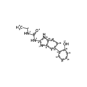 CCNC(=O)Nc1nc2cc(-c3ccccc3O)ccc2[nH]1